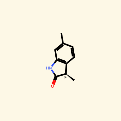 Cc1ccc2c(c1)NC(=O)[C@@H]2C